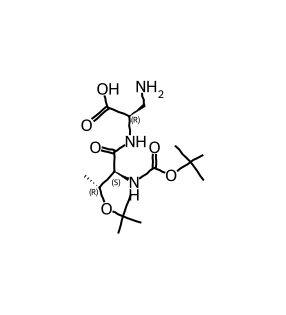 C[C@@H](OC(C)(C)C)[C@H](NC(=O)OC(C)(C)C)C(=O)N[C@H](CN)C(=O)O